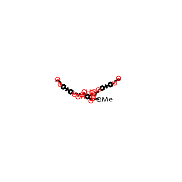 COCCOC(=O)c1ccc(C(=O)OCC(O)COc2ccc(C(C)(C)c3ccc(OCC4CO4)cc3)cc2)cc1C(=O)OCC(O)COc1ccc(C(C)(C)c2ccc(OCC3CO3)cc2)cc1